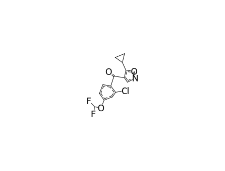 O=C(c1ccc(OC(F)F)cc1Cl)c1cnoc1C1CC1